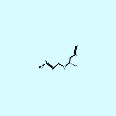 C=CC[C@H](C)OC/C=N/O